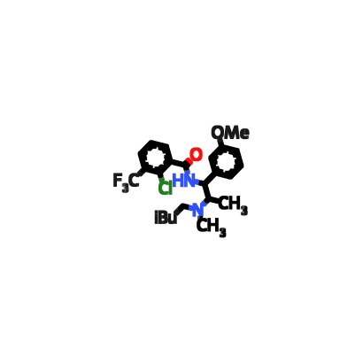 CCC(C)CN(C)C(C)C(NC(=O)c1cccc(C(F)(F)F)c1Cl)c1cccc(OC)c1